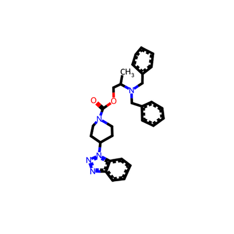 CC(COC(=O)N1CCC(n2nnc3ccccc32)CC1)N(Cc1ccccc1)Cc1ccccc1